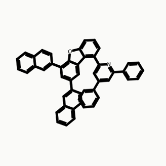 c1ccc(-c2cc(-c3ccccc3)nc(-c3cccc4oc5c(-c6ccc7ccccc7c6)cc(-c6ccc7ccccc7c6)cc5c34)c2)cc1